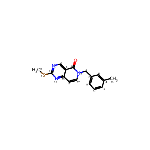 CSc1ncc2c(=O)n(Cc3cccc(C)c3)ccc2n1